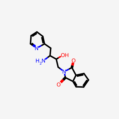 NC(Cc1ccccn1)C(O)CN1C(=O)c2ccccc2C1=O